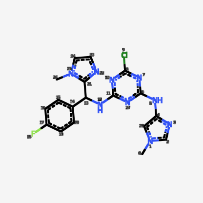 Cn1cnc(Nc2nc(Cl)nc(NC(c3ccc(F)cc3)c3nccn3C)n2)c1